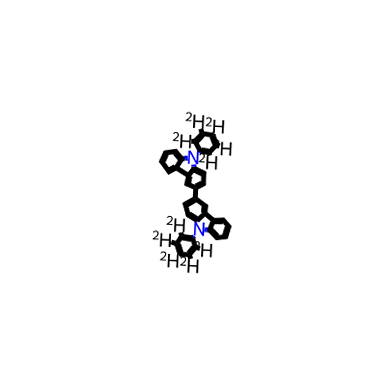 [2H]c1c([2H])c([2H])c(-n2c3ccccc3c3cc(-c4ccc5c(c4)c4ccccc4n5-c4c([2H])c([2H])c([2H])c([2H])c4[2H])ccc32)c([2H])c1[2H]